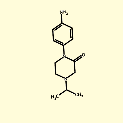 CC(C)N1CCN(c2ccc(N)cc2)C(=O)C1